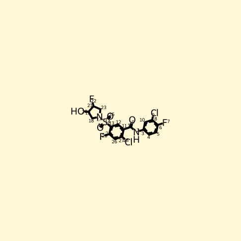 O=C(Nc1ccc(F)c(Cl)c1)c1cc(S(=O)(=O)N2CC(O)C(F)C2)c(F)cc1Cl